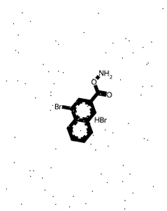 Br.NOC(=O)c1cc(Br)c2ccccc2c1